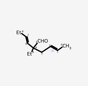 C/C=C/CC(C=O)(C=CCC)CC